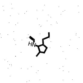 C=CNC1C(C)CCC1CCC